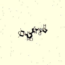 C[C@@H]1CN(c2cccc(-c3csc(NC(=O)[C@@H]4CCN4)n3)n2)C[C@H](C)O1.Cl